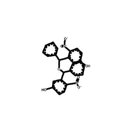 O=[N+]([O-])c1ccc(O)cc1C(OC(c1ccccc1)c1cc(O)ccc1[N+](=O)[O-])c1ccccc1